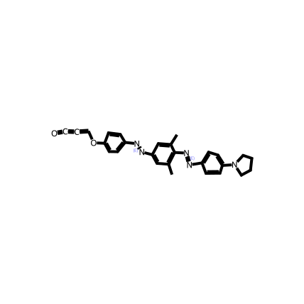 Cc1cc(/N=N/c2ccc(OC=C=C=O)cc2)cc(C)c1/N=N/c1ccc(N2CCCC2)cc1